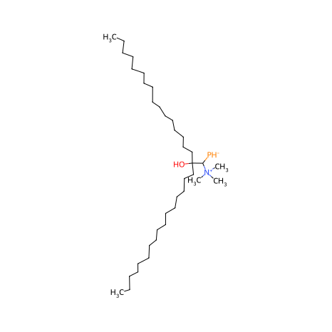 CCCCCCCCCCCCCCCCC(O)(CCCCCCCCCCCCCCCC)C([PH-])[N+](C)(C)C